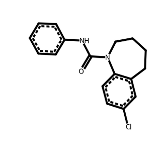 O=C(Nc1ccccc1)N1CCCCc2cc(Cl)ccc21